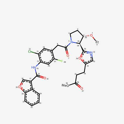 CCO[C@H]1CCN(C(=O)Cc2cc(Cl)c(NC(=O)c3coc4ccccc34)cc2F)[C@@H]1c1ncc(CCC(=O)OC)o1